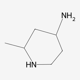 CC1CC(N)CCN1